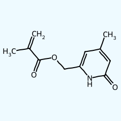 C=C(C)C(=O)OCc1cc(C)cc(=O)[nH]1